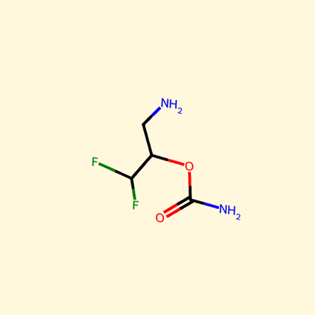 NCC(OC(N)=O)C(F)F